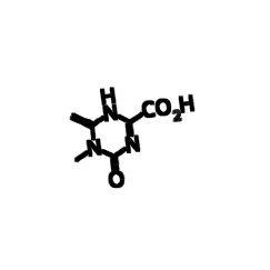 C=C1NC(C(=O)O)=NC(=O)N1C